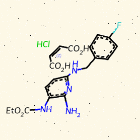 CCOC(=O)Nc1ccc(NCc2ccc(F)cc2)nc1N.Cl.O=C(O)/C=C\C(=O)O